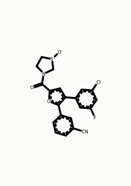 N#Cc1cccc(-c2oc(C(=O)N3CC[S+]([O-])C3)cc2-c2cc(F)cc(Cl)c2)c1